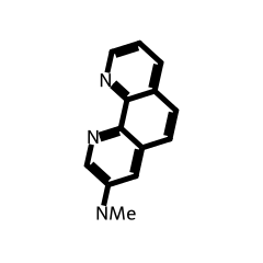 CNc1cnc2c(ccc3cccnc32)c1